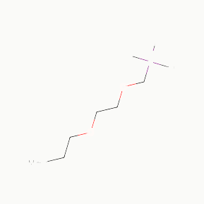 CC[PH](CC)(CC)COCCOCCOC